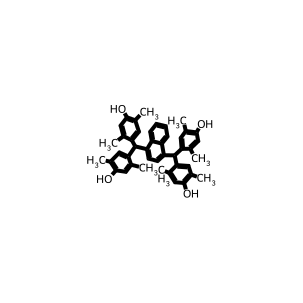 Cc1cc(C(c2cc(C)c(O)cc2C)c2ccc(C(c3cc(C)c(O)cc3C)c3cc(C)c(O)cc3C)c3ccccc23)c(C)cc1O